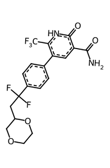 NC(=O)c1cc(-c2ccc(C(F)(F)CC3COCCO3)cc2)c(C(F)(F)F)[nH]c1=O